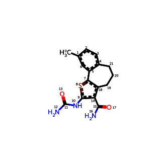 Cc1ccc2c(c1)-c1sc(NC(N)=O)c(C(N)=O)c1CCC2